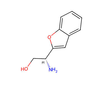 N[C@H](CO)c1cc2ccccc2o1